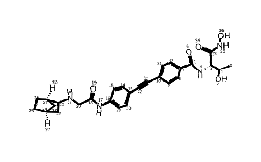 C[C@@H](O)[C@H](NC(=O)c1ccc(C#Cc2ccc(NC(=O)CNC3C[C@H]4CC[C@@H]3C4)cc2)cc1)C(=O)NO